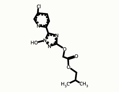 CC(C)COC(=O)COc1nc(-c2ccc(Cl)cn2)n(O)n1